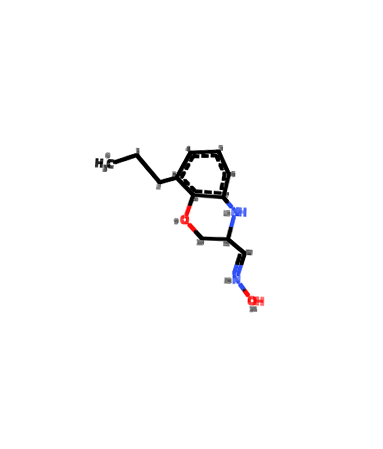 CCCc1cccc2c1OCC(C=NO)N2